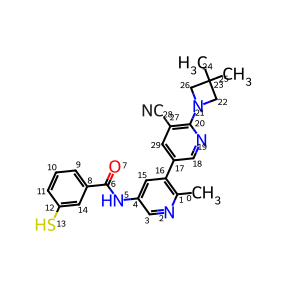 Cc1ncc(NC(=O)c2cccc(S)c2)cc1-c1cnc(N2CC(C)(C)C2)c(C#N)c1